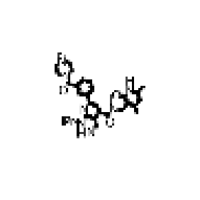 Cc1cc(C)c(CNC(=O)c2cc(-c3cccc(C(=O)N4CCN(C)CC4)c3)nc(NC(C)C)c2C=N)c(=O)[nH]1